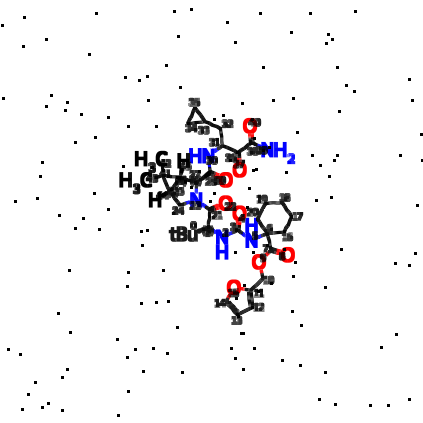 CC(C)(C)[C@H](NC(=O)NC1(C(=O)OCc2ccco2)CCCCC1)C(=O)N1C[C@H]2[C@@H]([C@H]1C(=O)NC(CC1CC1)C(=O)C(N)=O)C2(C)C